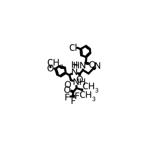 COc1ccc(C(NC(=O)C(CC#N)NC(=O)c2cccc(Cl)c2)C(=O)NC(C(=O)C(F)(F)F)C(C)C)cc1